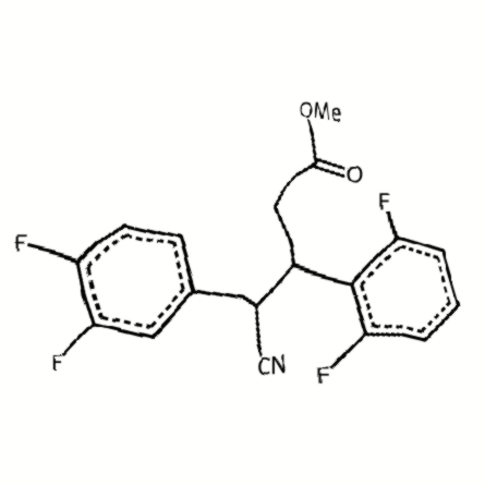 COC(=O)CC(c1c(F)cccc1F)C(C#N)c1ccc(F)c(F)c1